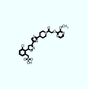 COc1nccnc1OCC(=O)N1CCC(c2nc(C3=NOC(c4c(Cl)cccc4CS(=O)(=O)O)C3)cs2)CC1